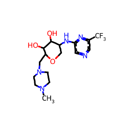 CN1CCN(CC2OCC(Nc3cncc(C(F)(F)F)n3)C(O)C2O)CC1